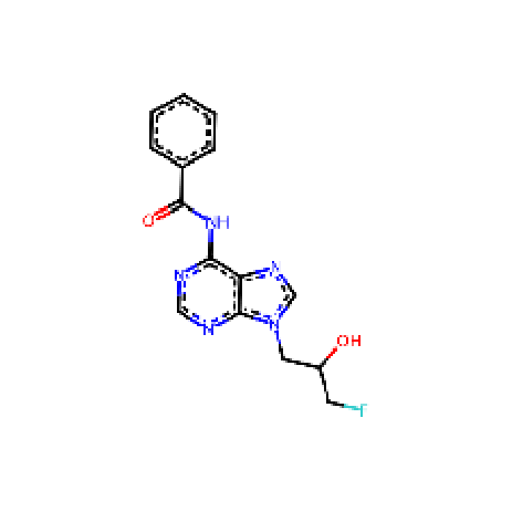 O=C(Nc1ncnc2c1ncn2CC(O)CF)c1ccccc1